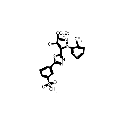 CCOC(=O)c1nn(-c2ccccc2C(F)(F)F)c(-c2nnc(-c3cccc(S(C)(=O)=O)c3)s2)c1Cl